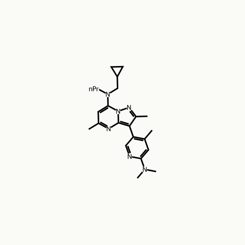 CCCN(CC1CC1)c1cc(C)nc2c(-c3cnc(N(C)C)cc3C)c(C)nn12